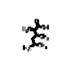 C=C(C(=O)O)C(C)CC(C)C